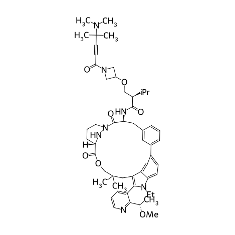 CCn1c(-c2cccnc2[C@H](C)OC)c2c3cc(ccc31)-c1cccc(c1)C[C@H](NC(=O)[C@@H](COC1CN(C(=O)C#CC(C)(C)N(C)C)C1)C(C)C)C(=O)N1CCC[C@H](N1)C(=O)OCC(C)(C)C2